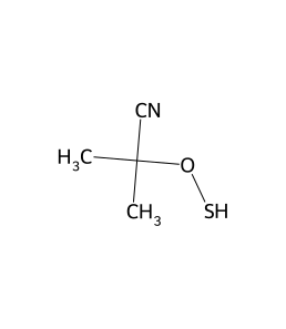 CC(C)(C#N)OS